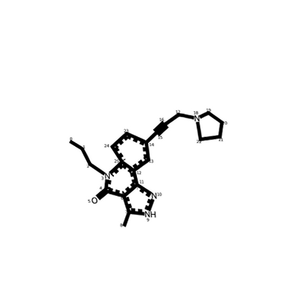 CCCn1c(=O)c2c(C)[nH]nc2c2cc(C#CCN3CCCC3)ccc21